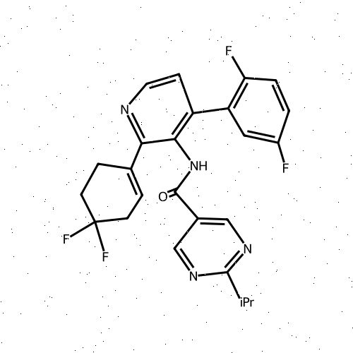 CC(C)c1ncc(C(=O)Nc2c(-c3cc(F)ccc3F)ccnc2C2=CCC(F)(F)CC2)cn1